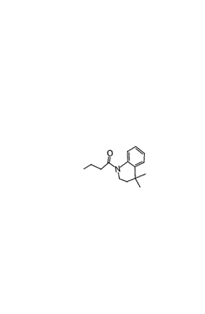 CCCC(=O)N1CCC(C)(C)c2ccccc21